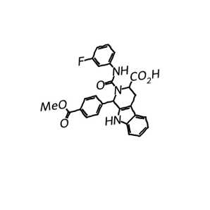 COC(=O)c1ccc(C2c3[nH]c4ccccc4c3CC(C(=O)O)N2C(=O)Nc2cccc(F)c2)cc1